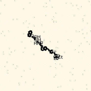 CCOP(=O)(CCC[n+]1ccc(C=Cc2ccc3c(c2)CCCN3CCC(=O)NCCNCC(O)COc2cccc3ccccc23)cc1)OCC